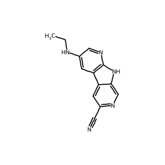 CCNc1cnc2[nH]c3cnc(C#N)cc3c2c1